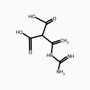 C=C(NC(=N)N)[C](C(=O)O)C(=O)O